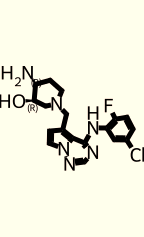 N[C@@H]1CCN(Cc2ccn3ncnc(Nc4cc(Cl)ccc4F)c23)C[C@H]1O